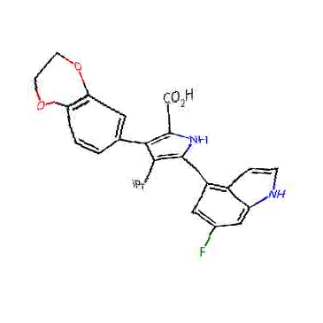 CC(C)c1c(-c2cc(F)cc3[nH]ccc23)[nH]c(C(=O)O)c1-c1ccc2c(c1)OCCO2